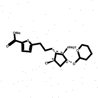 CCCCCCC[C@@H]1[C@@H](CCCc2ccc(C(=O)OC)s2)[C@H](Cl)C[C@H]1OC1CCCCO1